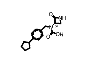 O=C1NC[C@@H]1N(Cc1ccc(C2CCCC2)cc1)C(=O)O